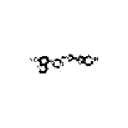 C[C@@H]1CN(c2ccc(C#N)c3ncccc23)C[C@H](CN2CC(n3cc4c(n3)CCNC4)C2)O1